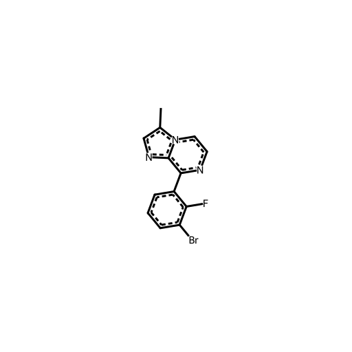 Cc1cnc2c(-c3cccc(Br)c3F)nccn12